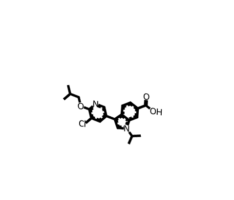 CC(C)COc1ncc(-c2cn(C(C)C)c3cc(C(=O)O)ccc23)cc1Cl